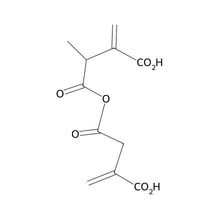 C=C(CC(=O)OC(=O)C(C)C(=C)C(=O)O)C(=O)O